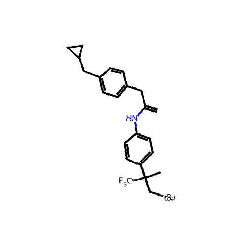 C=C(Cc1ccc(CC2CC2)cc1)Nc1ccc(C(C)(CC(C)(C)C)C(F)(F)F)cc1